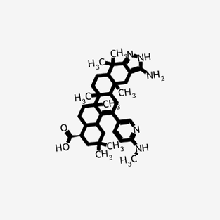 CNc1ccc(C2=C3C4CC(C)(C)C[C@@H](C(=O)O)C4CCC3(C)C3(C)CCC4C(C)(C)c5n[nH]c(N)c5CC4(C)C3C2)cn1